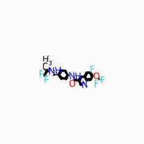 C[C@H](NC[C@H]1CC[C@H](NC(=O)c2cnc3cc(OC(F)F)c(F)cc3c2)CC1)C(F)F